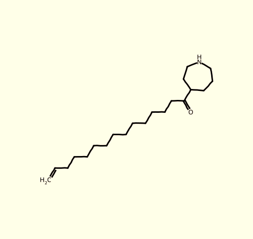 C=CCCCCCCCCCCCCC(=O)C1CCCNCC1